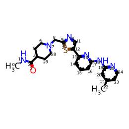 CNC(=O)C1CCN(Cc2ncc(-c3cccc(Nc4cc(C)ccn4)n3)s2)CC1